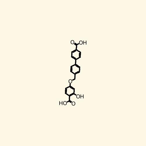 O=C(O)c1ccc(-c2ccc(COc3ccc(C(=O)O)c(O)c3)cc2)cc1